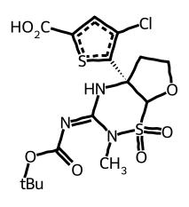 CN1/C(=N\C(=O)OC(C)(C)C)N[C@@]2(c3sc(C(=O)O)cc3Cl)CCOC2S1(=O)=O